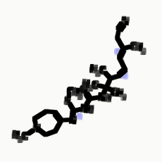 CS/C(=N\C1=CCCN(C)CC1)NC(=O)NC(C)(C)C(C)/C=C\C=C(/C)CC#N